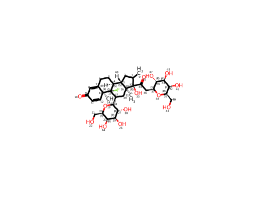 CC1C[C@H]2[C@@H]3CCC4=CC(=O)C=C[C@]4(C)[C@@]3(F)C([C@@H]3O[C@H](CO)[C@H](O)[C@H](O)[C@H]3O)C[C@]2(C)[C@@]1(O)C(=O)C[C@@H]1O[C@H](CO)[C@H](O)[C@H](O)[C@H]1O